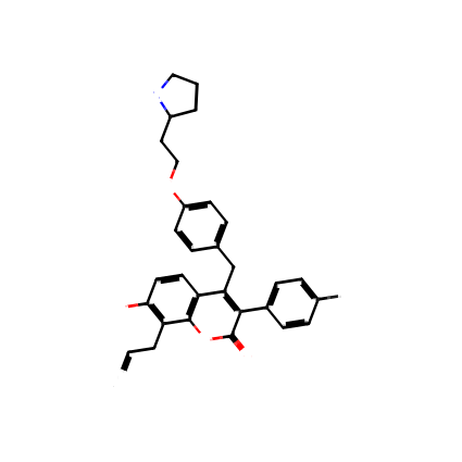 C=CCc1c(O)ccc2c(Cc3ccc(OCCC4CCCN4)cc3)c(-c3ccc(C(F)(F)F)cc3)c(=O)oc12